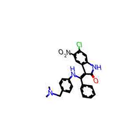 CN(C)Cc1ccc(NC(=C2C(=O)Nc3cc(Cl)c([N+](=O)[O-])cc32)c2ccccc2)cc1